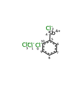 [Cl-].[Cl-].[Cl-].[Cl-].[Sb+4][c]1ccccc1